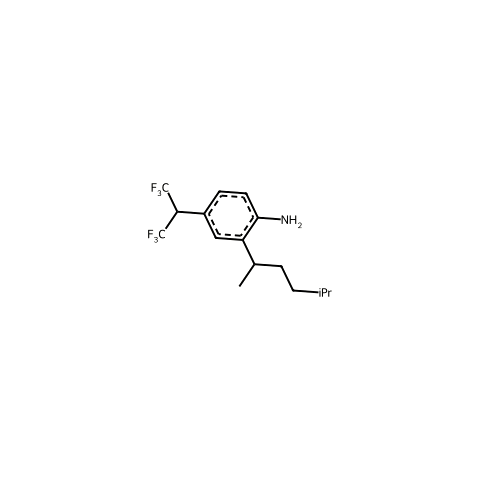 CC(C)CCC(C)c1cc(C(C(F)(F)F)C(F)(F)F)ccc1N